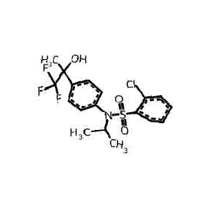 CC(C)N(c1ccc(C(C)(O)C(F)(F)F)cc1)S(=O)(=O)c1ccccc1Cl